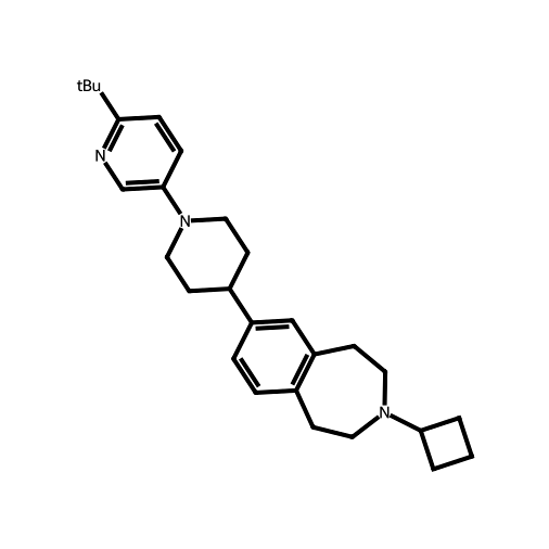 CC(C)(C)c1ccc(N2CCC(c3ccc4c(c3)CCN(C3CCC3)CC4)CC2)cn1